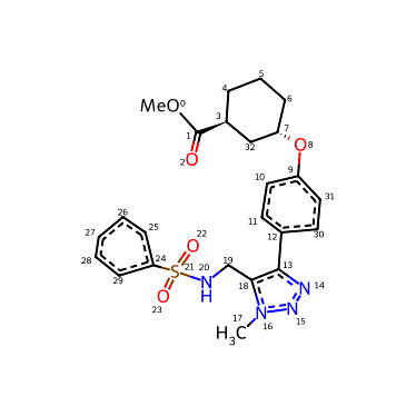 COC(=O)[C@H]1CCC[C@H](Oc2ccc(-c3nnn(C)c3CNS(=O)(=O)c3ccccc3)cc2)C1